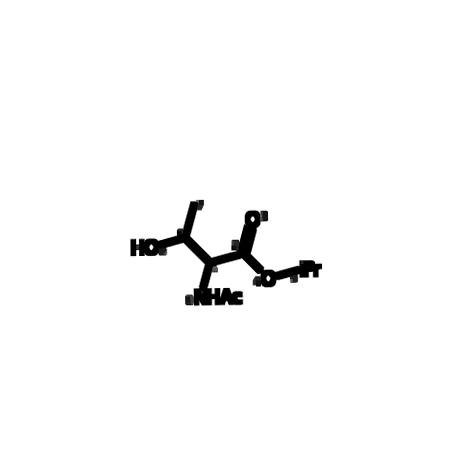 CC(=O)NC(C(=O)OC(C)C)C(C)O